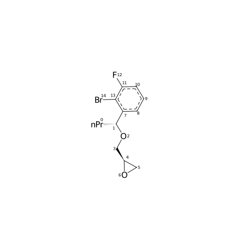 CCC[C@@H](OC[C@H]1CO1)c1cccc(F)c1Br